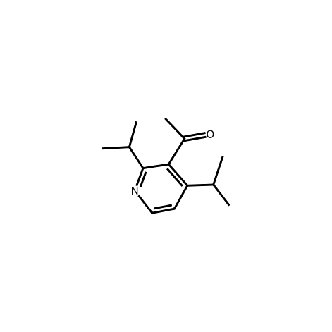 CC(=O)c1c(C(C)C)ccnc1C(C)C